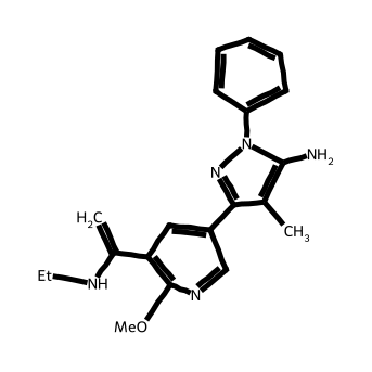 C=C(NCC)c1cc(-c2nn(-c3ccccc3)c(N)c2C)cnc1OC